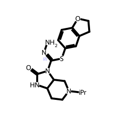 CC(C)N1CCC2NC(=O)N(/C(=N/N)Sc3ccc4c(c3)CCO4)C2C1